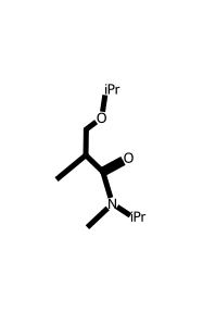 CC(C)OCC(C)C(=O)N(C)C(C)C